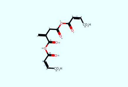 C=C(CC(=O)OC(=O)/C=C\C(=O)O)C(=O)OC(=O)/C=C\C(=O)O